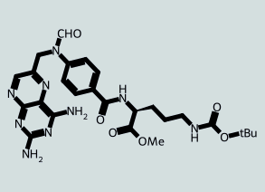 COC(=O)[C@H](CCCNC(=O)OC(C)(C)C)NC(=O)c1ccc(N(C=O)Cc2cnc3nc(N)nc(N)c3n2)cc1